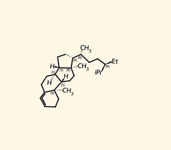 CC[C@H](CC[C@@H](C)[C@H]1CC[C@H]2[C@@H]3CCC4=C=CCC[C@]4(C)[C@H]3CC[C@]12C)C(C)C